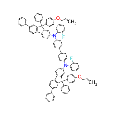 C=CCOc1ccc(C2(c3ccccc3)c3cc(-c4ccccc4)ccc3-c3ccc(N(c4ccc(-c5ccc(N(c6ccc7c(c6)C(c6ccccc6)(c6ccc(OCC=C)cc6)c6cc(-c8ccccc8)ccc6-7)c6ccccc6F)cc5)cc4)c4ccccc4F)cc32)cc1